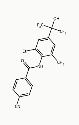 CCc1cc(C(O)(C(F)(F)F)C(F)(F)F)cc(C)c1NC(=O)c1ccc(C#N)cc1